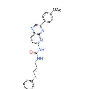 CC(=O)Oc1ccc(-c2cnc3ccc(NC(=O)NCCCCc4ccccc4)nc3n2)cc1